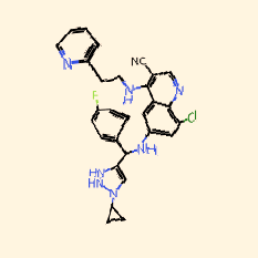 N#Cc1cnc2c(Cl)cc(NC(C3=CN(C4CC4)NN3)c3ccc(F)cc3)cc2c1NCCc1ccccn1